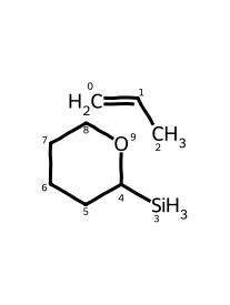 C=CC.[SiH3]C1CCCCO1